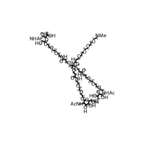 CNCCOCCOCCOCCOCCC(=O)NC(COCCC(=O)NCCOCCOCCOC(CNC(C)=O)OC(CO)C(O)CO)(COCCC(=O)NCCOCCOCCOC(OC(CO)C(C)O)C(O)NC(C)=O)COCCC(=O)NCCOCCOCCOC1OC(CO)C(O)C(O)C1NC(C)=O